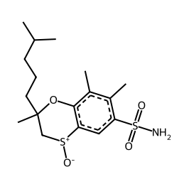 Cc1c(S(N)(=O)=O)cc2c(c1C)OC(C)(CCCC(C)C)C[S+]2[O-]